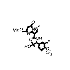 COCc1cc(=O)n2c(n1)c(C(=O)NC(c1ccc(OC(F)(F)F)c(F)c1)C(C)(C)O)cn2C